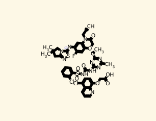 C#CCN1C(=O)COc2cc(F)c(/N=c3\snc4n3CC(C)(C)C4)cc21.COc1nc(C)nc(NC(=O)NS(=O)(=O)c2ccccc2Cl)n1.O=C(O)COc1ccc(Cl)c2cccnc12